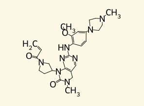 C=CC(=O)N1CCC(N2C(=O)N(C)Cc3cnc(Nc4ccc(N5CCN(C)CC5)cc4OC)nc32)C1